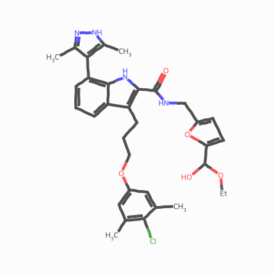 CCOC(O)c1ccc(CNC(=O)c2[nH]c3c(-c4c(C)n[nH]c4C)cccc3c2CCCOc2cc(C)c(Cl)c(C)c2)o1